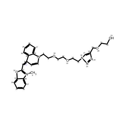 C[n+]1c(/C=C2\C=CN(CCOCCOCCn3cc(COCCO)nn3)c3ccccc32)oc2ccccc21